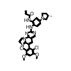 C=CC(=O)Nc1cc(N2CC[C@H](C)C2)ccc1Nc1ncc2cc(-c3c(Cl)c(OC)cc(OC)c3Cl)c3nccn3c2n1